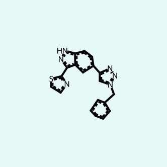 c1ccc(Cn2cc(-c3ccc4[nH]nc(-c5nccs5)c4c3)nn2)cc1